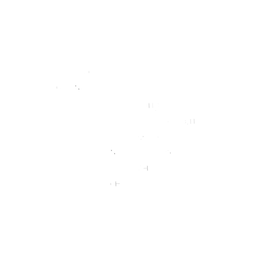 C=C(C)C(=O)OC(C)N(CC)c1ccc([N+](=O)[O-])cc1